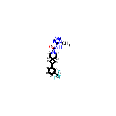 Cn1nnnc1NC(=O)N1CCC2(CC1)CC(c1cccc(C(F)(F)F)c1)C2